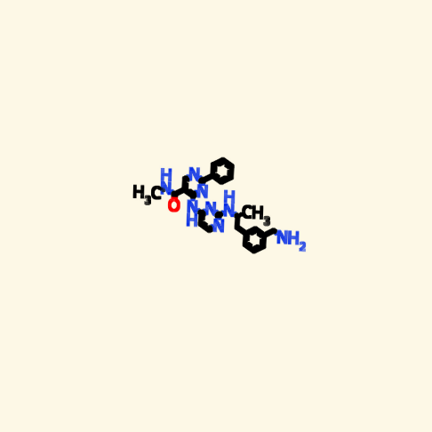 CNC(=O)c1cnc(-c2ccccc2)nc1Nc1ccnc(N[C@@H](C)Cc2cccc(CN)c2)n1